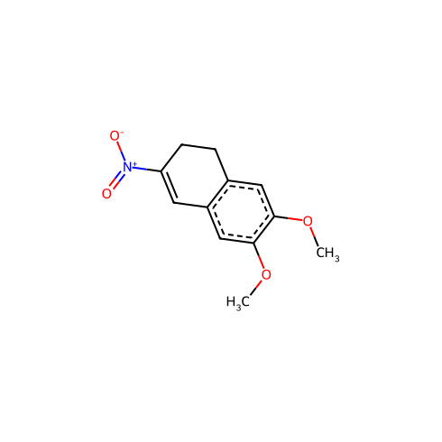 COc1cc2c(cc1OC)CCC([N+](=O)[O-])=C2